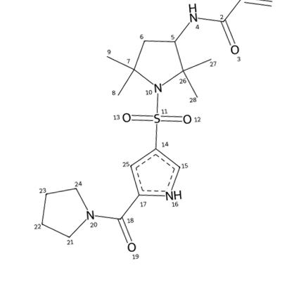 C=CC(=O)NC1CC(C)(C)N(S(=O)(=O)c2c[nH]c(C(=O)N3CCCC3)c2)C1(C)C